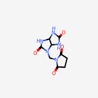 O=C1NC2NC(=O)N(CN3C(=O)CCC3=O)C2N1